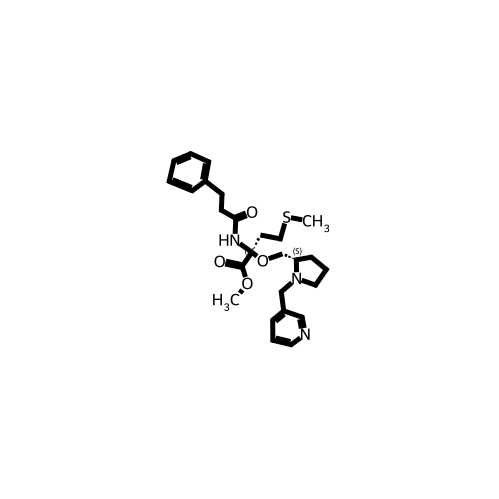 COC(=O)[C@@](CCSC)(NC(=O)CCc1ccccc1)OC[C@@H]1CCCN1Cc1cccnc1